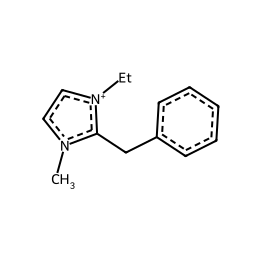 CC[n+]1ccn(C)c1Cc1ccccc1